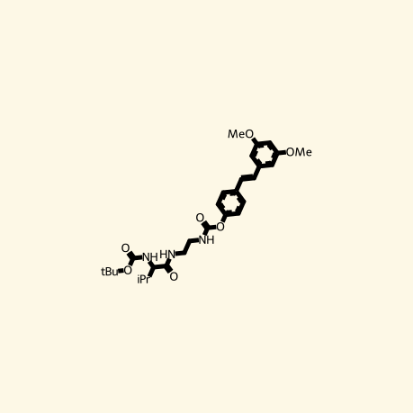 COc1cc(C=Cc2ccc(OC(=O)NCCNC(=O)C(NC(=O)OC(C)(C)C)C(C)C)cc2)cc(OC)c1